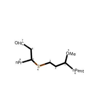 CCCCCC(CCSC(CC=O)CCC)OC